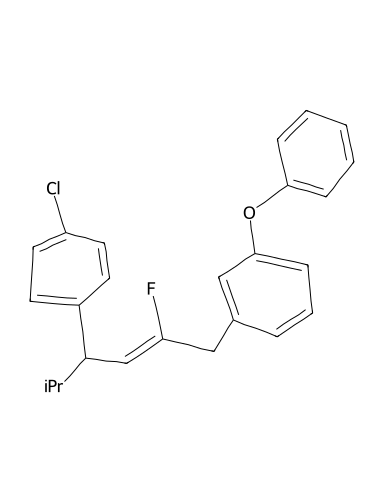 CC(C)C(C=C(F)Cc1cccc(Oc2ccccc2)c1)c1ccc(Cl)cc1